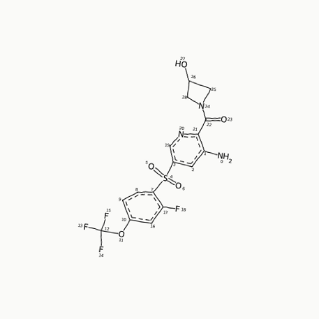 Nc1cc(S(=O)(=O)c2ccc(OC(F)(F)F)cc2F)cnc1C(=O)N1CC(O)C1